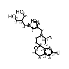 C[C@H]1C[C@@]2(CCN1Cc1cn(CC(CO)CO)nn1)OCCc1cc(Cl)sc12